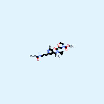 CCc1cc(C(C)N(C(=O)[C@H]2CN(C(=O)OC(C)(C)C)CCO2)C2CC2)cc(CCCNC(=O)OC)n1